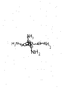 C[C@@]12C(CCCOCCCN)CC[C@H]1C1[C@H](OCCCN)CC3C[C@H](OCCCN)CC[C@]3(C)[C@H]1C[C@@H]2OCCCN